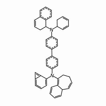 C1=CC=C(N(C2=C3C=CC=CC3C=CCC2)c2ccc(-c3ccc(N(C4C=CC=CC4)C4CC=Cc5ccccc54)cc3)cc2)C2=CC=12